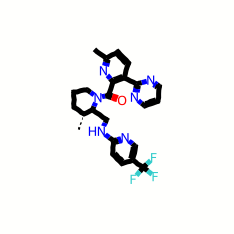 Cc1ccc(-c2ncccn2)c(C(=O)N2CCC[C@@H](C)C2CNc2ccc(C(F)(F)F)cn2)n1